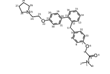 CN(C)C(=O)COc1ccc(Cc2ccccc2-c2ccc(OCCN3CCCC3)cc2)cc1